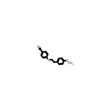 COc1ccc(CCOc2ccc(C#N)cc2)cc1